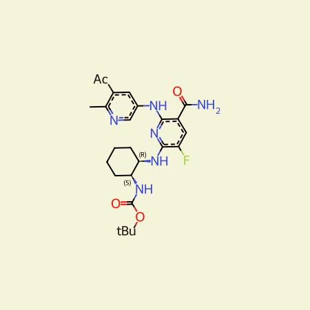 CC(=O)c1cc(Nc2nc(N[C@@H]3CCCC[C@@H]3NC(=O)OC(C)(C)C)c(F)cc2C(N)=O)cnc1C